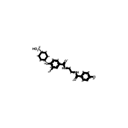 O=C(NCCNC(=O)c1ccc(O[C@H]2CC[C@@H](C(=O)O)CC2)c(F)c1)c1ccc(Cl)cc1